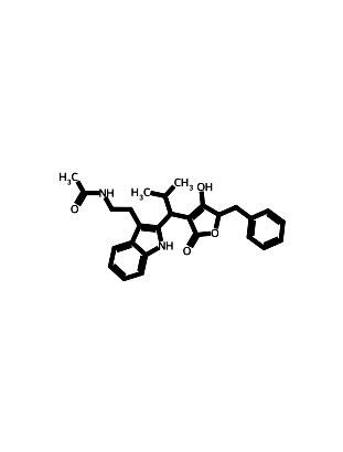 CC(=O)NCCc1c(C(C2=C(O)C(Cc3ccccc3)OC2=O)C(C)C)[nH]c2ccccc12